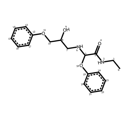 CCNC(=O)C(NCC(O)COc1ccccc1)Oc1ccccc1